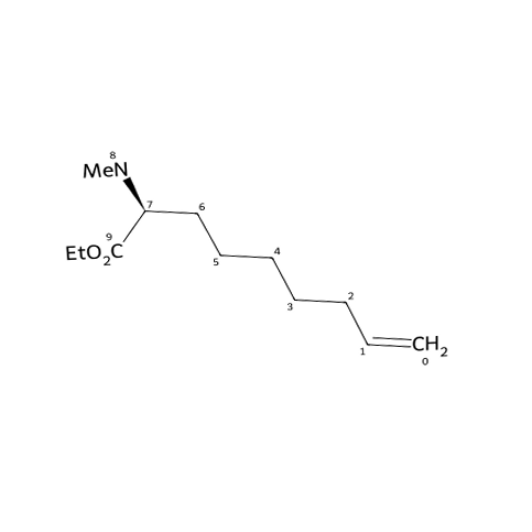 C=CCCCCC[C@H](NC)C(=O)OCC